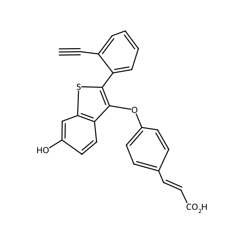 C#Cc1ccccc1-c1sc2cc(O)ccc2c1Oc1ccc(/C=C/C(=O)O)cc1